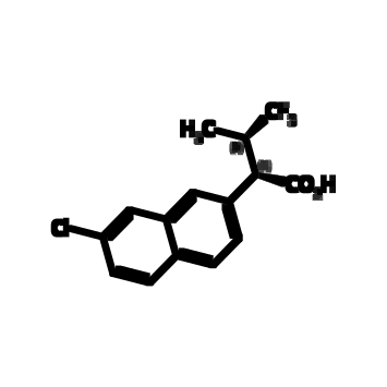 C[C@H]([C@@H](C(=O)O)c1ccc2ccc(Cl)cc2c1)C(F)(F)F